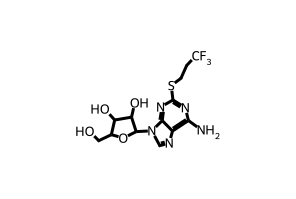 Nc1nc(SCCC(F)(F)F)nc2c1ncn2C1OC(CO)C(O)C1O